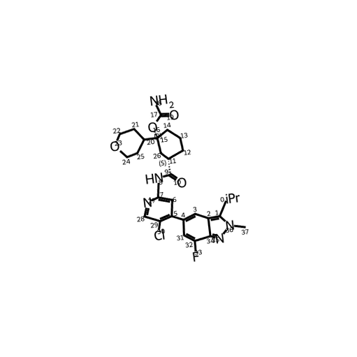 CC(C)c1c2cc(-c3cc(NC(=O)[C@H]4CCC[C@](OC(N)=O)(C5CCOCC5)C4)ncc3Cl)cc(F)c2nn1C